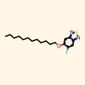 CCCCCCCCCCCCOc1cc2nsnc2cc1F